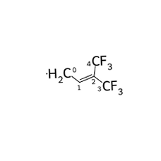 [CH2]C=C(C(F)(F)F)C(F)(F)F